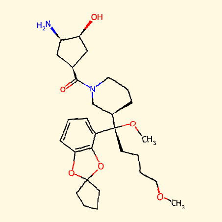 COCCCC[C@@](OC)(c1cccc2c1OC1(CCCC1)O2)[C@@H]1CCCN(C(=O)[C@H]2C[C@@H](N)[C@@H](O)C2)C1